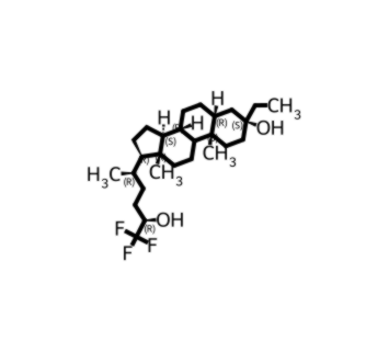 CC[C@]1(O)CC[C@]2(C)C3CC[C@]4(C)[C@@H]([C@H](C)CC[C@@H](O)C(F)(F)F)CC[C@H]4[C@@H]3CC[C@@H]2C1